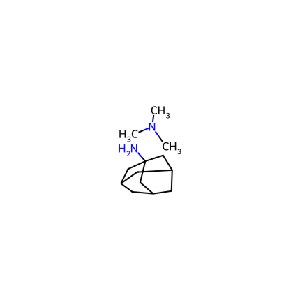 CN(C)C.NC12CC3CC(CC(C3)C1)C2